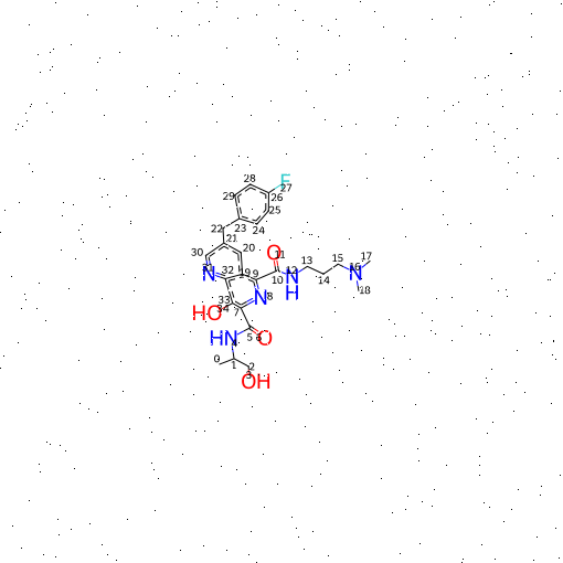 CC(CO)NC(=O)c1nc(C(=O)NCCCN(C)C)c2cc(Cc3ccc(F)cc3)cnc2c1O